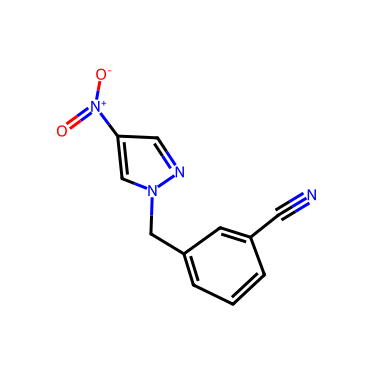 N#Cc1cccc(Cn2cc([N+](=O)[O-])cn2)c1